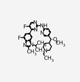 CCN1CCC([C@@H](OC)c2ccc(Nc3ncc(F)c(-c4cc(F)c5nc(C)n(C(C)C)c5c4)n3)nc2)CC1